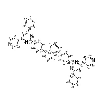 c1ccc(-c2cc(-c3ccncc3)nc(-c3ccc(-c4cccc5c(-c6ccc(-c7nc(-c8ccccc8)cc(-c8ccncc8)n7)cc6)cccc45)cc3)n2)cc1